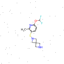 Cc1nc(OC(F)F)ccc1SN1CC2(CNC2)C1